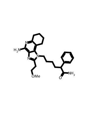 COCCc1nc2c(N)nc3c(c2n1CCCCC(C(N)=O)c1ccccc1)CCCC3